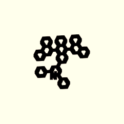 c1ccc(-c2cc(-c3ccc4c(-c5cc6ccccc6c6ccccc56)c5ccccc5c(-c5cc6ccccc6c6ccccc56)c4c3)cc(-c3ccccc3)n2)cc1